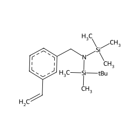 C=Cc1cccc(CN([Si](C)(C)C)[Si](C)(C)C(C)(C)C)c1